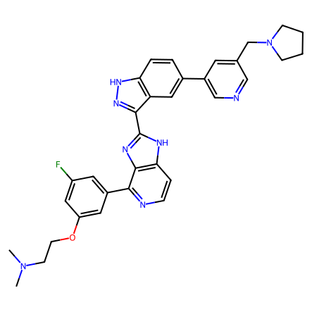 CN(C)CCOc1cc(F)cc(-c2nccc3[nH]c(-c4n[nH]c5ccc(-c6cncc(CN7CCCC7)c6)cc45)nc23)c1